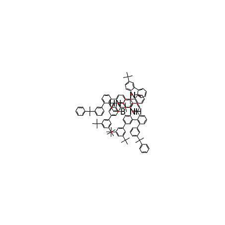 CC(C)(C)c1cc(-c2cc3c(c(-c4c(-c5ccc(C(C)(C)c6ccccc6)cc5)cccc4-c4cccc(C(C)(C)c5ccccc5)c4)c2)Nc2cc(-n4c5ccccc5c5cc(C(C)(C)C)ccc54)cc4c2B3c2cc(-c3cc(C(C)(C)C)cc(C(C)(C)C)c3)cc(-c3c(-c5cccc(C(C)(C)c6ccccc6)c5)cccc3-c3cccc(C(C)(C)c5ccccc5)c3)c2N4)cc(C(C)(C)C)c1